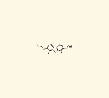 CCCOc1ccc2c(sc3c(C)c(CO)ccc32)c1C